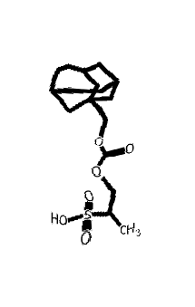 CC(COC(=O)OCC12CC3CC(CC(C3)C1)C2)S(=O)(=O)O